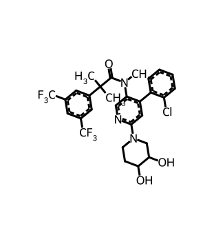 CN(C(=O)C(C)(C)c1cc(C(F)(F)F)cc(C(F)(F)F)c1)c1cnc(N2CCC(O)C(O)C2)cc1-c1ccccc1Cl